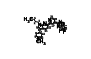 CCCCn1cc(C2=CCN(C)CC2)c2ccc(-c3cc(-c4noc(C(F)(F)F)n4)ccn3)nc21